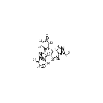 CCn1ncc2cc(-c3c(-c4ccc(F)cc4)nn4c3COCC4C)cnc21